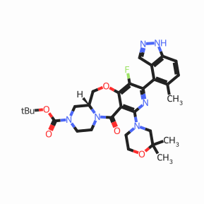 Cc1ccc2[nH]ncc2c1-c1nc(N2CCOC(C)(C)C2)c2c(c1F)OC[C@H]1CN(C(=O)OC(C)(C)C)CCN1C2=O